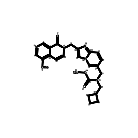 COc1cncc2c(=O)n(Cc3cn4cc(CN(CC5CCC5)C(=O)OC(C)(C)C)ccc4n3)ccc12